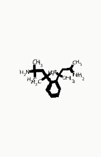 CC(N)CC(C)(C)c1ccccc1C(C)(C)CC(C)(C)N